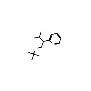 CC(C)C(COC(C)(C)C)c1ccccn1